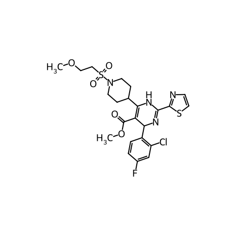 COCCS(=O)(=O)N1CCC(C2=C(C(=O)OC)C(c3ccc(F)cc3Cl)N=C(c3nccs3)N2)CC1